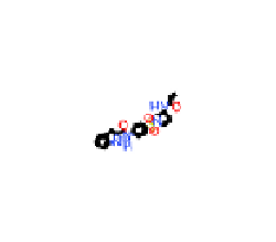 C=CC(=O)N[C@H]1CCCN(S(=O)(=O)c2ccc(NC(=O)c3cc4ccccc4[nH]3)cc2)C1